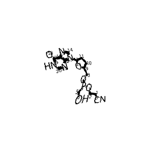 N#CCCOP(CO)OCC1CCC(n2cnc3c(=O)[nH]cnc32)O1